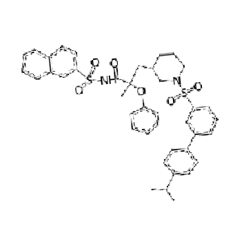 CC(C)c1ccc(-c2cccc(S(=O)(=O)N3CCCC(CC(C)(Oc4ccccc4)C(=O)NS(=O)(=O)c4ccc5ccccc5c4)C3)c2)cc1